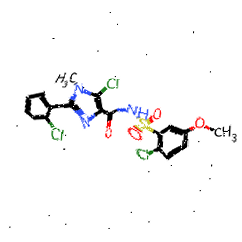 COc1ccc(Cl)c(S(=O)(=O)NC(=O)c2nc(-c3ccccc3Cl)n(C)c2Cl)c1